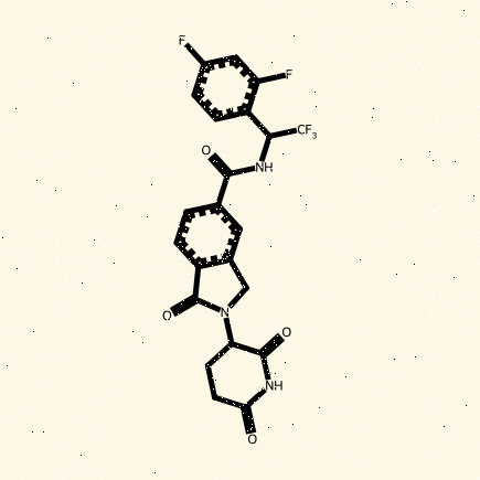 O=C1CCC(N2Cc3cc(C(=O)NC(c4ccc(F)cc4F)C(F)(F)F)ccc3C2=O)C(=O)N1